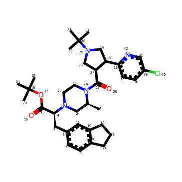 C[C@H]1CN([C@@H](Cc2ccc3c(c2)CCC3)C(=O)OC(C)(C)C)CCN1C(=O)C1CN(C(C)(C)C)CC1c1ccc(Cl)cn1